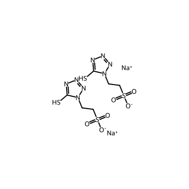 O=S(=O)([O-])CCn1nnnc1S.O=S(=O)([O-])CCn1nnnc1S.[Na+].[Na+]